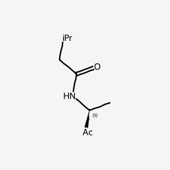 CC(=O)[C@H](C)NC(=O)CC(C)C